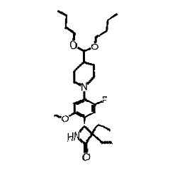 CCCCOC(OCCCC)C1CCN(c2cc(OC)c([C@@H]3NC(=O)C3(CC)CC)cc2F)CC1